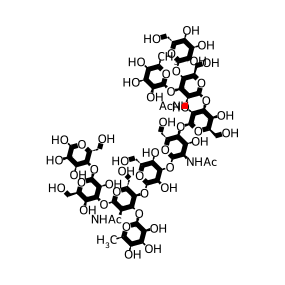 CC(=O)N[C@H]1[C@H](O[C@H]2[C@@H](O)[C@@H](CO)O[C@@H](O[C@H]3[C@H](O[C@@H]4O[C@@H](C)[C@@H](O)[C@@H](O)[C@@H]4O)[C@@H](NC(C)=O)[C@H](O[C@H]4[C@@H](O)[C@@H](CO)O[C@@H](O[C@H]5[C@H](O)[C@@H](O)[C@H](O)O[C@@H]5CO)[C@@H]4O)O[C@@H]3CO)[C@@H]2O)O[C@H](CO)[C@@H](O[C@@H]2O[C@H](CO)[C@H](O)[C@H](O[C@@H]3O[C@H](CO)[C@@H](O[C@@H]4O[C@H](CO)[C@H](O)[C@H](O)[C@H]4O)[C@H](O[C@@H]4O[C@@H](C)[C@@H](O)[C@@H](O)[C@@H]4O)[C@H]3NC(C)=O)[C@H]2O)[C@@H]1O